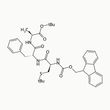 C[C@H](NC(=O)[C@@H](Cc1ccccc1)NC(=O)[C@H](CSC(C)(C)C)NC(=O)OCC1c2ccccc2-c2ccccc21)C(=O)OC(C)(C)C